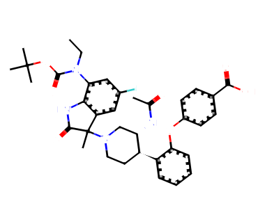 CCN(C(=O)OC(C)(C)C)c1cc(F)cc2c1NC(=O)C2(C)N1CC[C@H](c2ccccc2Oc2ccc(C(=O)O)cc2)[C@@H](NC(C)=O)C1